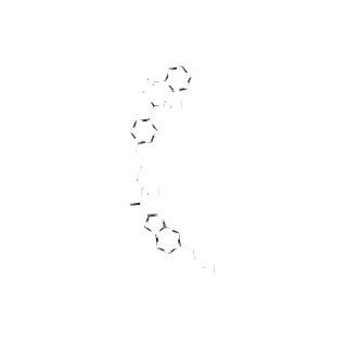 Nc1ccccc1NC(=O)c1ccc(OCCNC(=O)c2cc3ccc(COC(F)(F)F)cc3o2)cc1